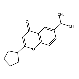 CC(C)c1ccc2oc(C3CCCC3)cc(=O)c2c1